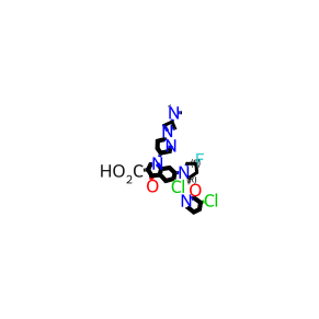 CN(C)C1CN(c2ccc(-n3cc(C(=O)O)c(=O)c4cc(Cl)c(N5C[C@@H](F)C[C@@H]5COc5ncccc5Cl)cc43)cn2)C1